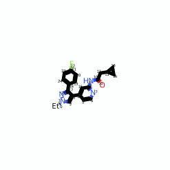 CCn1cc(-c2ccnc(NC(=O)CC3CC3)c2)c(-c2ccc(F)cc2)n1